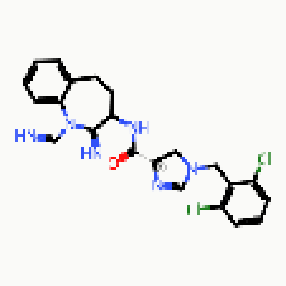 N=CN1C(=N)C(NC(=O)[C@@H]2CN(Cc3c(Cl)cccc3Cl)C=N2)CCc2ccccc21